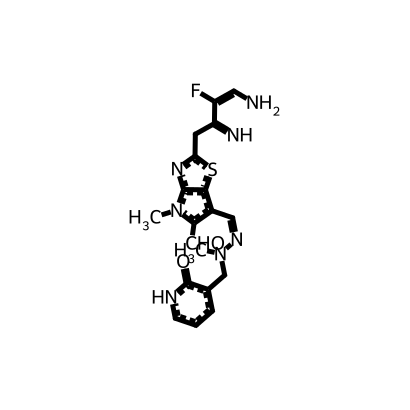 CN(Cc1ccc[nH]c1=O)/N=C\c1c(C=O)n(C)c2nc(CC(=N)/C(F)=C\N)sc12